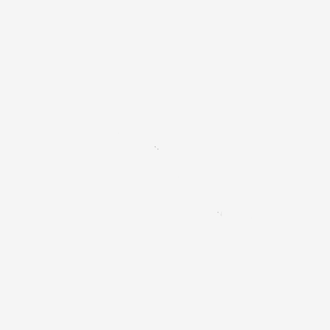 C=CC1=C(/C=C/N(C)S(C)(=O)=O)SC=C(CC(=O)OCC)N1C